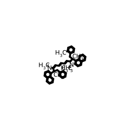 Cc1ccccc1CC1(C)C(/C=C/C=C/C=C2/N(C)c3ccc4ccccc4c3C2(C)Cc2ccccc2C)=[N+](C)c2ccc3ccccc3c21